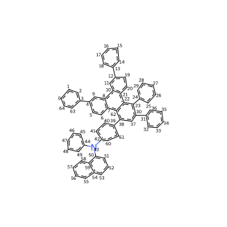 c1ccc(-c2ccc3c(c2)c2cc(-c4ccccc4)ccc2c2c(-c4ccccc4)c(-c4ccccc4)cc(-c4ccc(N(c5ccccc5)c5cccc6ccccc56)cc4)c32)cc1